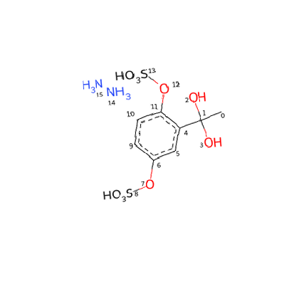 CC(O)(O)c1cc(OS(=O)(=O)O)ccc1OS(=O)(=O)O.N.N